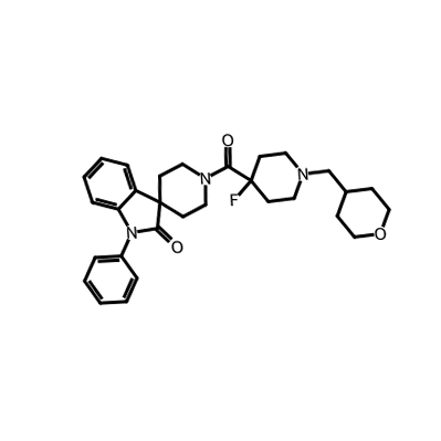 O=C(N1CCC2(CC1)C(=O)N(c1ccccc1)c1ccccc12)C1(F)CCN(CC2CCOCC2)CC1